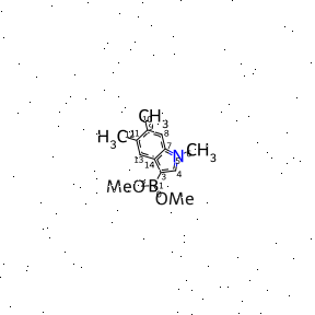 COB(OC)c1cn(C)c2cc(C)c(C)cc12